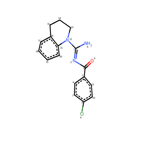 NC(=NC(=O)c1ccc(Cl)cc1)N1CCCc2ccccc21